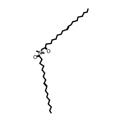 CCCCCCCCC=CCCCCCCCC(=O)C[N+](C)(C)C(=O)CCCCCCCC=CCCCCCCCC